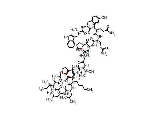 CC[C@H](C)[C@H](NC(=O)[C@H](CC(C)C)NC(=O)[C@H](CC(C)C)NC(=O)[C@H](CCCCN)NC(=O)[C@@H]1CCCN1C(=O)[C@H](C)NC(=O)[C@@H](NC(=O)CNC(=O)[C@@H]1CCCN1C(=O)[C@H](CC(C)C)NC(=O)[C@H](CCC(N)=O)NC(=O)[C@H](CCC(N)=O)NC(=O)[C@H](Cc1ccc(O)cc1)NC(=O)[C@@H](N)Cc1c[nH]c2ccccc12)[C@@H](C)O)C(=O)N[C@@H](Cc1ccc(O)cc1)C(=O)O